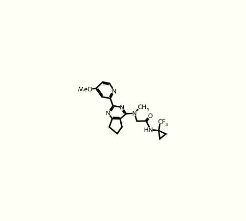 COc1ccnc(-c2nc3c(c(N(C)CC(=O)NC4(C(F)(F)F)CC4)n2)CCC3)c1